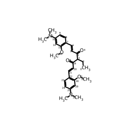 CCC(C(=O)C=Cc1ccc(N(C)C)cc1OC)C(=O)C=Cc1ccc(N(C)C)cc1OC